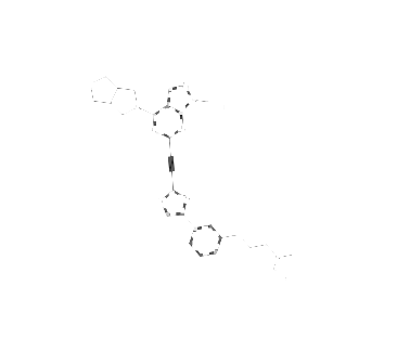 CN(C)CCOc1cccc(-c2c[nH]c(C#Cc3nc(N4C[C@H]5COC[C@H]5C4)c4cnn(C)c4n3)n2)c1